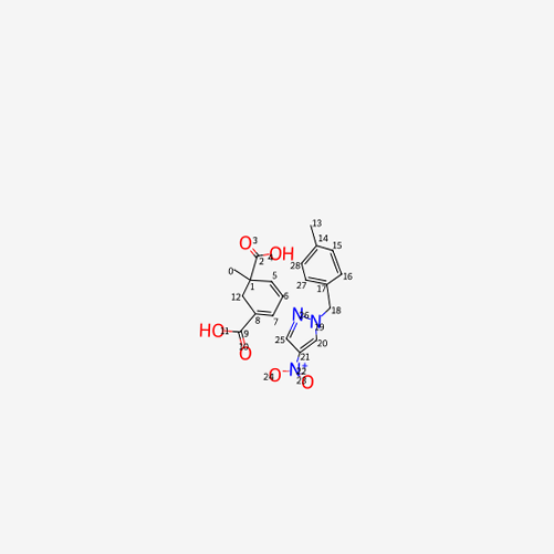 CC1(C(=O)O)C=CC=C(C(=O)O)C1.Cc1ccc(Cn2cc([N+](=O)[O-])cn2)cc1